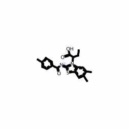 CCC(C(=O)O)n1/c(=N/C(=O)c2ccc(C)cc2)sc2cc(C)c(C)cc21